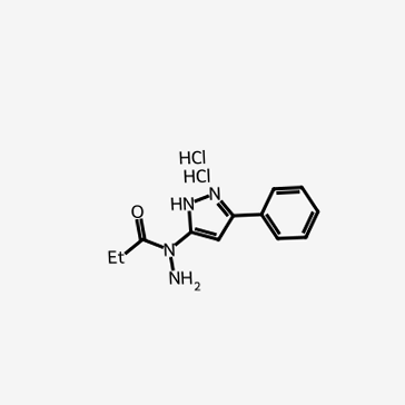 CCC(=O)N(N)c1cc(-c2ccccc2)n[nH]1.Cl.Cl